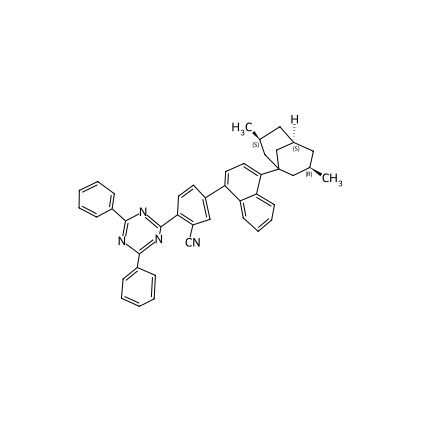 C[C@@H]1C[C@@H]2C[C@H](C)CC(c3ccc(-c4ccc(-c5nc(-c6ccccc6)nc(-c6ccccc6)n5)c(C#N)c4)c4ccccc34)(C1)C2